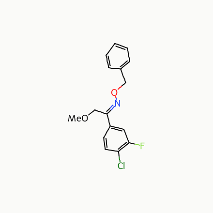 COC/C(=N\OCc1ccccc1)c1ccc(Cl)c(F)c1